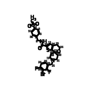 CS(=O)(=O)c1ccc(CNC(=O)c2cc3c(s2)C2(CCN(Cc4ccc(F)c(Br)c4F)CC2)OCC3)cc1